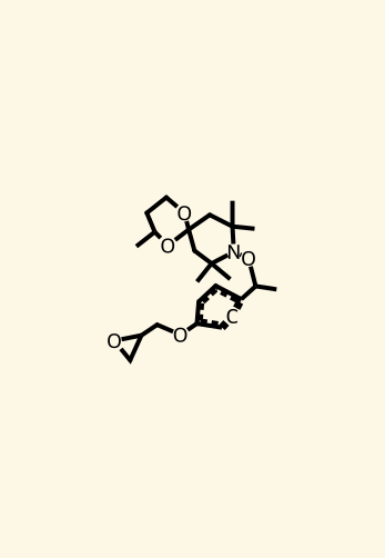 CC1CCOC2(CC(C)(C)N(OC(C)c3ccc(OCC4CO4)cc3)C(C)(C)C2)O1